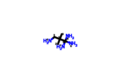 CC(C)(CN)C(N)(N)N